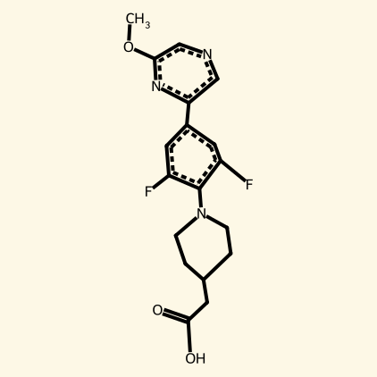 COc1cncc(-c2cc(F)c(N3CCC(CC(=O)O)CC3)c(F)c2)n1